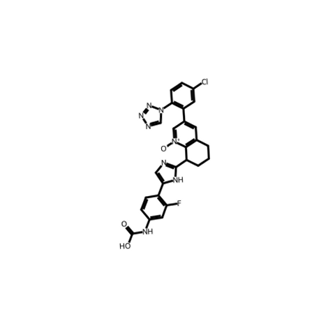 O=C(O)Nc1ccc(-c2cnc(C3CCCc4cc(-c5cc(Cl)ccc5-n5cnnn5)c[n+]([O-])c43)[nH]2)c(F)c1